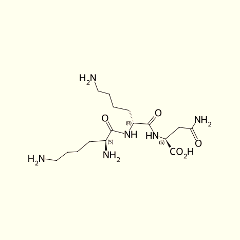 NCCCC[C@H](N)C(=O)N[C@H](CCCCN)C(=O)N[C@@H](CC(N)=O)C(=O)O